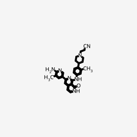 Cc1cc(Nc2nc(-c3cnc(N)c(C)c3)cc3cc[nH]c(=O)c23)ccc1C1CCN(CCC#N)CC1